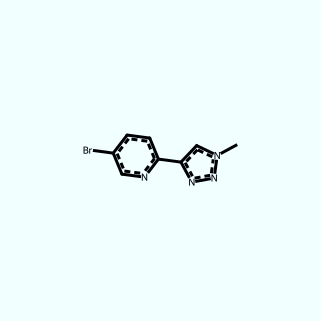 Cn1cc(-c2ccc(Br)cn2)nn1